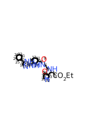 CCOC(=O)CC(NC(=O)CNC(=O)c1cccc(Nc2ncc(-c3ccccc3)[nH]2)c1)c1cccnc1